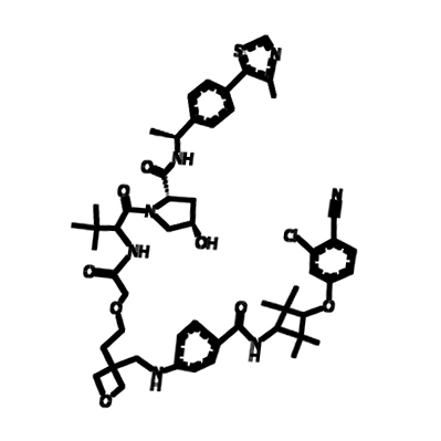 Cc1ncsc1-c1ccc([C@H](C)NC(=O)[C@@H]2C[C@@H](O)CN2C(=O)C(NC(=O)COCCC2(CNc3ccc(C(=O)NC4C(C)(C)C(Oc5ccc(C#N)c(Cl)c5)C4(C)C)cc3)COC2)C(C)(C)C)cc1